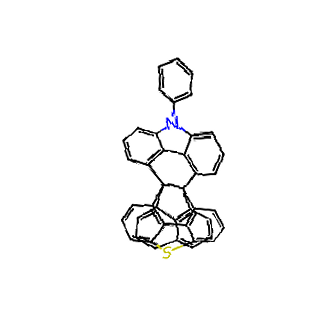 c1ccc(-n2c3cccc4c3c3c(cccc32)C23c5cccc6cccc(c56)C42c2cccc4sc5cccc3c5c24)cc1